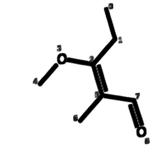 CCC(OC)=C(C)C=O